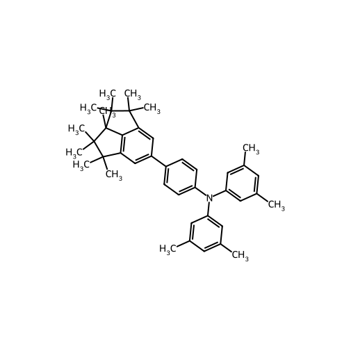 Cc1cc(C)cc(N(c2ccc(-c3cc4c5c(c3)C(C)(C)C(C)(C)C5(C)C(C)(C)C4(C)C)cc2)c2cc(C)cc(C)c2)c1